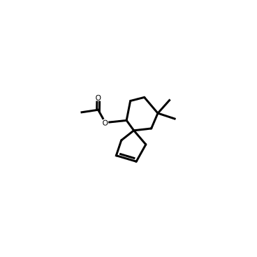 CC(=O)OC1CCC(C)(C)CC12CC=CC2